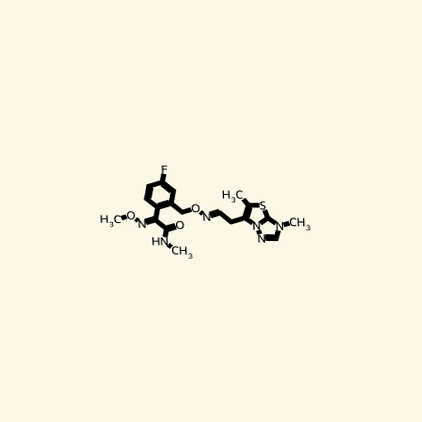 CNC(=O)/C(=N/OC)c1ccc(F)cc1CON=CCC1=C(C)SC2N(C)C=NN12